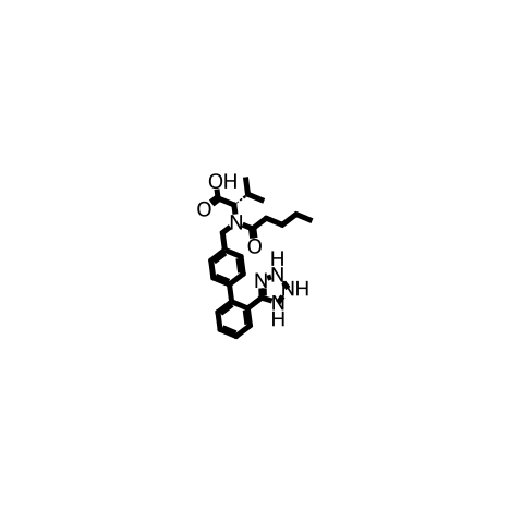 CCCCC(=O)N(Cc1ccc(-c2ccccc2C2=NNNN2)cc1)[C@H](C(=O)O)C(C)C